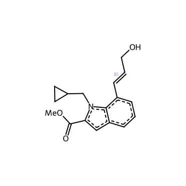 COC(=O)c1cc2cccc(/C=C/CO)c2n1CC1CC1